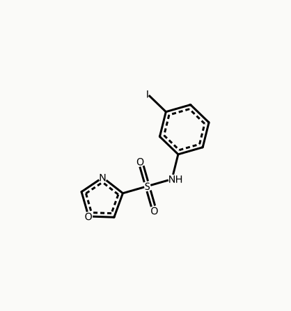 O=S(=O)(Nc1cccc(I)c1)c1cocn1